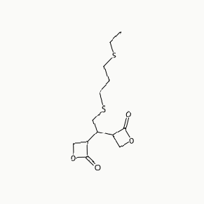 CCSCCCSCC(C1COC1=O)C1COC1=O